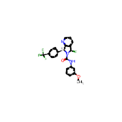 COc1cccc(NC(=O)N2C(F)c3cccnc3[C@@H]2c2ccc(C(F)(F)F)cc2)c1